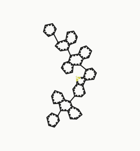 c1ccc(-c2ccc(-c3c4ccccc4c(-c4cccc5c4sc4cc(-c6c7ccccc7c(-c7ccccc7)c7ccccc67)ccc45)c4ccccc34)c3ccccc23)cc1